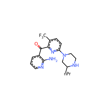 CCCC1CN(c2ccc(C(F)(F)F)c(C(=O)c3cccnc3N)n2)CCN1